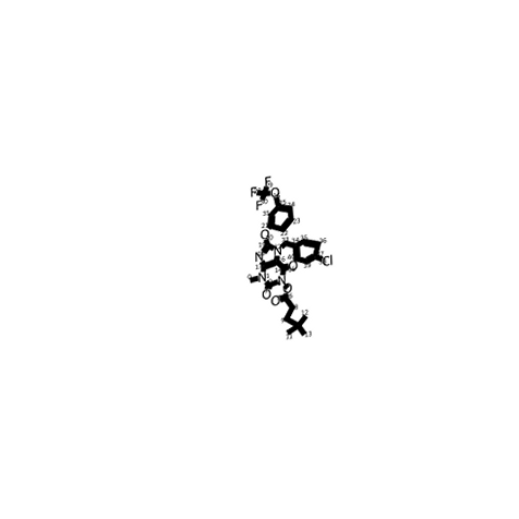 Cn1c(=O)n(OC(=O)CCC(C)(C)C)c(=O)c2c1nc(Oc1cccc(OC(F)(F)F)c1)n2Cc1ccc(Cl)cc1